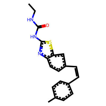 CCNC(=O)Nc1nc2ccc(/C=C\c3ccc(C)cc3)cc2s1